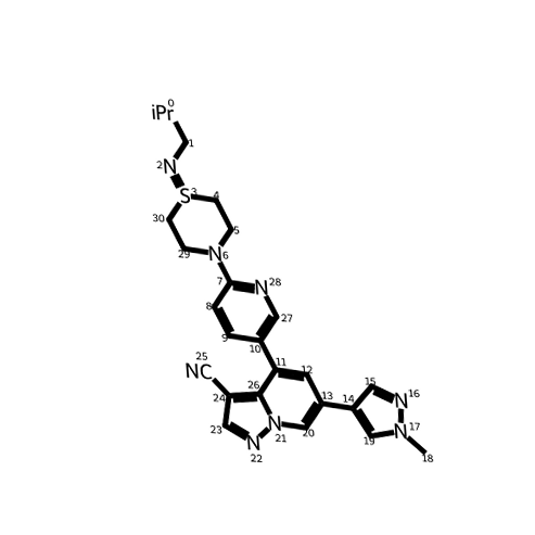 CC(C)CN=S1CCN(c2ccc(-c3cc(-c4cnn(C)c4)cn4ncc(C#N)c34)cn2)CC1